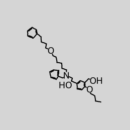 CCCCOc1ccc(C(O)CN(CCCCCCOCCCCc2ccccc2)Cc2ccccc2)cc1CO